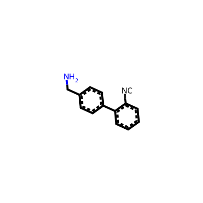 [C-]#[N+]c1ccccc1-c1ccc(CN)cc1